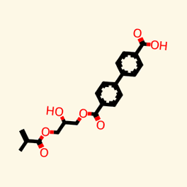 C=C(C)C(=O)OCC(O)COC(=O)c1ccc(-c2ccc(C(=O)O)cc2)cc1